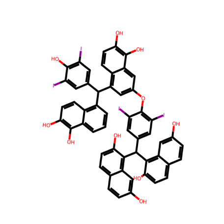 Oc1ccc2ccc(O)c(C(c3cc(I)c(Oc4cc(C(c5cc(I)c(O)c(I)c5)c5cccc6c(O)c(O)ccc56)c5ccc(O)c(O)c5c4)c(I)c3)c3c(O)ccc4ccc(O)cc34)c2c1